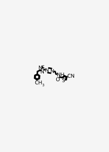 Cc1ccc(Cc2nsc(N3CCN(CCNC(=O)c4cc(C#N)cs4)CC3)n2)cc1